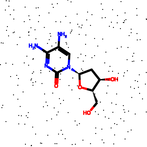 Nc1cn([C@@H]2C[C@@H](O)[C@H](CO)O2)c(=O)nc1N